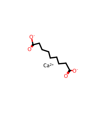 O=C([O-])CCCCCCCC(=O)[O-].[Ca+2]